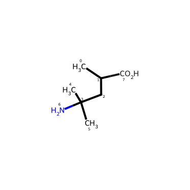 CC(CC(C)(C)N)C(=O)O